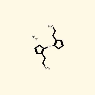 CCCC1=[C]([Hf+2][C]2=C(CCC)C=CC2)CC=C1.[Cl-].[Cl-]